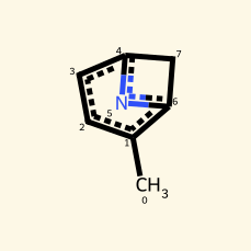 Cc1ccc2nc1C2